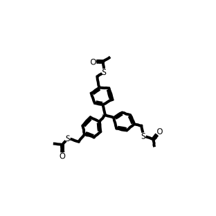 CC(=O)SCc1ccc([C](c2ccc(CSC(C)=O)cc2)c2ccc(CSC(C)=O)cc2)cc1